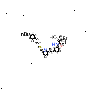 CCCCc1ccc(CCCCSCc2cccc(/C=C/c3cccc(NC(=O)CC(CC)(CC)C(=O)O)c3)n2)cc1